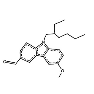 CCCCC(CC)Cn1c2ccc(C=O)cc2c2cc(OC)ccc21